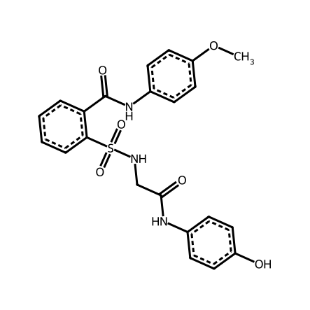 COc1ccc(NC(=O)c2ccccc2S(=O)(=O)NCC(=O)Nc2ccc(O)cc2)cc1